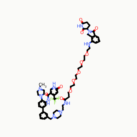 CN1CCN(c2ccc(-c3cccc(CN4CCN(CCNC(=O)CCOCCOCCOCCOCCOCCNc5cccc6c5CN(C5CCC(=O)NC5=O)C6=O)CC4)c3)cc2NC(=O)c2c[nH]c(=O)cc2C(F)(F)F)CC1